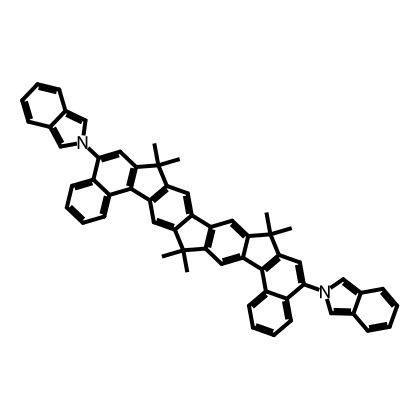 CC1(C)c2cc3c(cc2-c2cc4c(cc21)-c1c(cc(-n2cc5ccccc5c2)c2ccccc12)C4(C)C)C(C)(C)c1cc(-n2cc4ccccc4c2)c2ccccc2c1-3